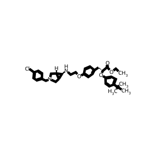 CCOC(=O)[C@@H](Cc1ccc(OCCN[C@H]2C3CN(Cc4ccc(Cl)cc4)C[C@@H]32)cc1)Oc1ccc(C(C)(C)C)cc1